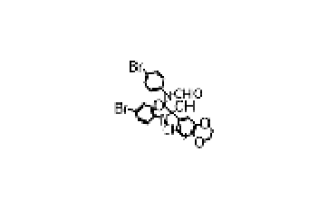 CN(c1ccc(Br)cc1)C(O)(C(=O)N(C=O)c1ccc(Br)cc1)c1ccc2c(c1)OCCO2